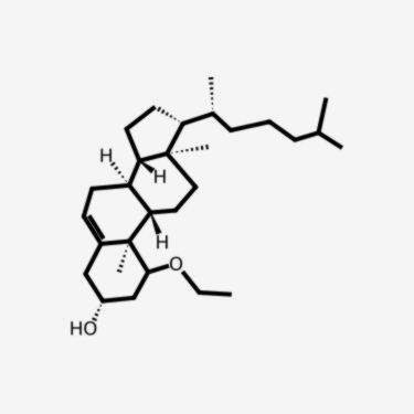 CCOC1C[C@H](O)CC2=CC[C@H]3[C@@H]4CC[C@H]([C@H](C)CCCC(C)C)[C@@]4(C)CC[C@@H]3[C@]21C